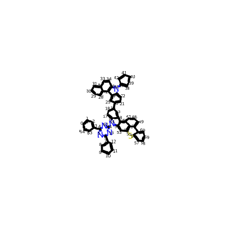 c1ccc(-c2nc(-c3ccccc3)nc(-n3c4ccc(-c5ccc6c(c5)c5c7ccccc7ccc5n6-c5ccccc5)cc4c4c5cccc6c5c(cc43)Sc3ccccc3-6)n2)cc1